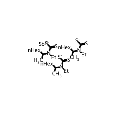 CCCCCCC(C)N(CC)C(=S)[S-].CCCCCCC(C)N(CC)C(=S)[S-].CCCCCCC(C)N(CC)C(=S)[S-].[Sb+3]